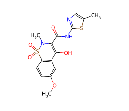 COc1ccc2c(c1)C(O)=C(C(=O)Nc1ncc(C)s1)N(C)S2(=O)=O